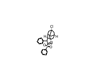 O=S(=O)(N[C@@H](c1ccccc1)[C@H]1C2C[C@H]3C[C@](Cl)(C2)C[C@@]1(Cl)C3)c1ccccc1